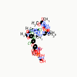 CC1COc2ccccc2N1C(=O)C(Cl)Cl.CCNc1nc(Cl)nc(NC(C)C)n1.COC(=O)c1cc(Oc2ccc(Cl)cc2Cl)ccc1[N+](=O)[O-].COc1cc(OC)nc(NC(=O)NS(=O)(=O)c2ncccc2C(=O)N(C)C)n1.O=C(O)CNCP(=O)(O)O